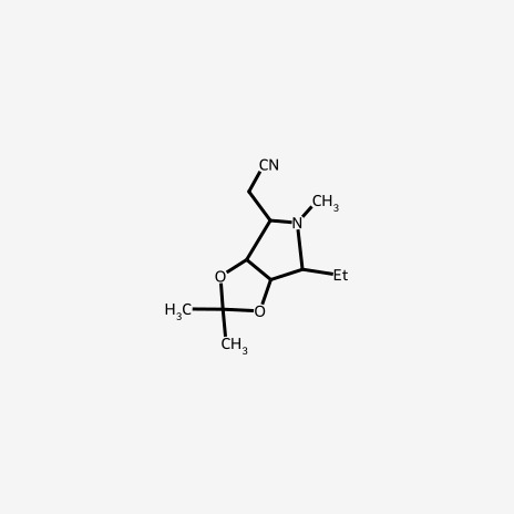 CCC1C2OC(C)(C)OC2C(CC#N)N1C